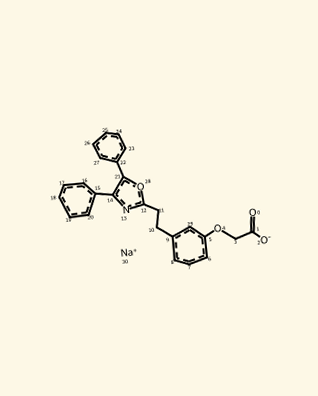 O=C([O-])COc1cccc(CCc2nc(-c3ccccc3)c(-c3ccccc3)o2)c1.[Na+]